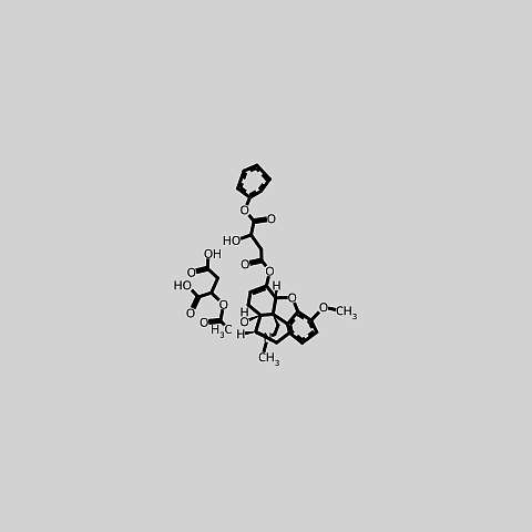 CC(=O)OC(CC(=O)O)C(=O)O.COc1ccc2c3c1O[C@H]1C(OC(=O)CC(O)C(=O)Oc4ccccc4)=CC[C@@]4(O)[C@@H](C2)N(C)CC[C@]314